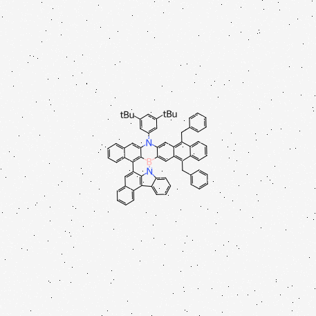 CC(C)(C)c1cc(N2c3cc4c(Cc5ccccc5)c5ccccc5c(Cc5ccccc5)c4cc3B3c4c2cc2ccccc2c4-c2cc4ccccc4c4c5ccccc5n3c24)cc(C(C)(C)C)c1